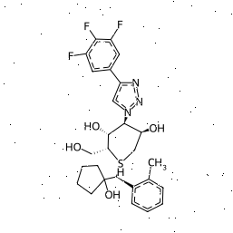 Cc1ccccc1[C@H]([SH]1C[C@H](O)[C@H](n2cc(-c3cc(F)c(F)c(F)c3)nn2)[C@@H](O)[C@H]1CO)C1(O)CCCC1